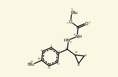 CC(C)(C)OC(=O)NNC(c1ccc(C(C)(C)C)cc1)C1CC1